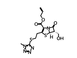 C=CCOC(=O)C1=C(CCSc2nnnn2C)S[C@@H]2[C@@H](CO)C(=O)N12